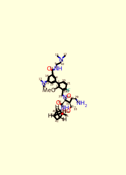 COc1c(-c2cc(C(=O)NCCN(C)C)cc(N(C)C)c2)ccc(F)c1CN1O[C@@H](CN)[C@@H]([C@H](C)O)[C@H]1C(=O)N[C@H]1C[C@H]2C[C@@H]([C@@H]1C)C2(C)C